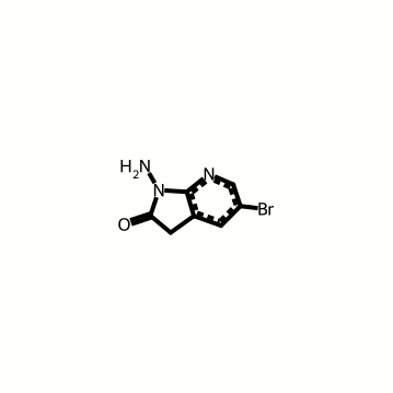 NN1C(=O)Cc2cc(Br)cnc21